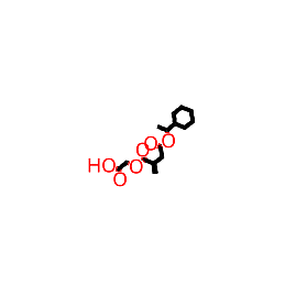 C=C(CC(=O)OC(C)C1CCCCC1)C(=O)OCC(=O)O